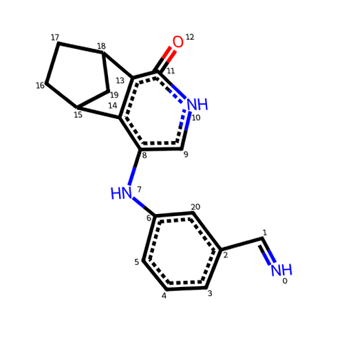 N=Cc1cccc(Nc2c[nH]c(=O)c3c2C2CCC3C2)c1